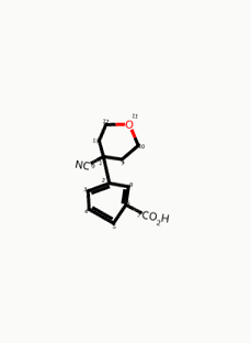 N#CC1(c2cccc(C(=O)O)c2)CCOCC1